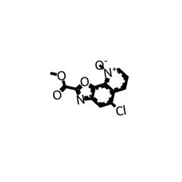 COC(=O)c1nc2cc(Cl)c3ccc[n+]([O-])c3c2o1